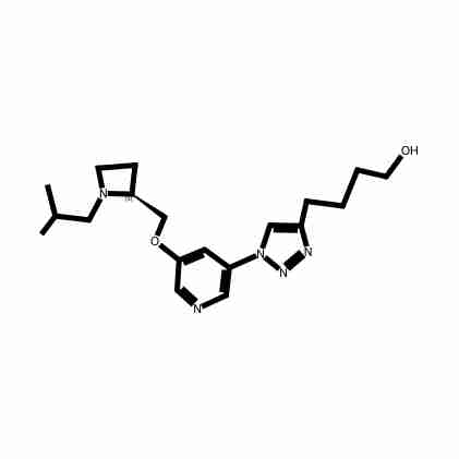 CC(C)CN1CC[C@H]1COc1cncc(-n2cc(CCCCO)nn2)c1